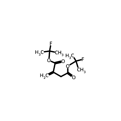 C=C(CC(=O)OC(C)(C)F)C(=O)OC(C)(C)F